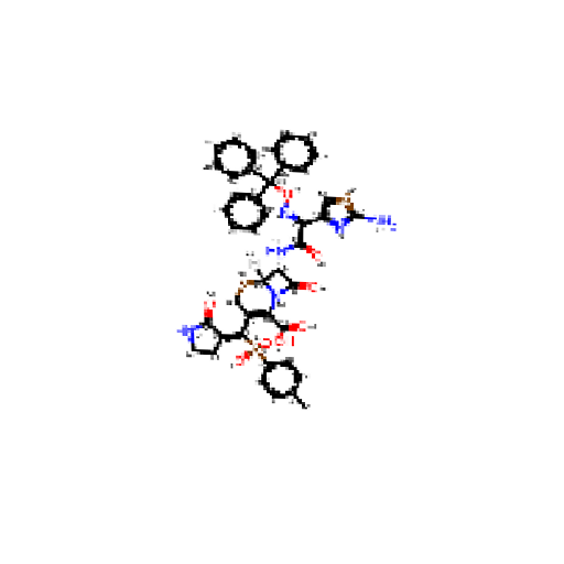 Cc1ccc(S(=O)(=O)C(C2=C(C(=O)O)N3C(=O)[C@@H](NC(=O)C(=NOC(c4ccccc4)(c4ccccc4)c4ccccc4)c4csc(N)n4)[C@H]3SC2)=C2CCNC2=O)cc1